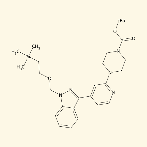 CC(C)(C)OC(=O)N1CCN(c2cc(-c3nn(COCC[Si](C)(C)C)c4ccccc34)ccn2)CC1